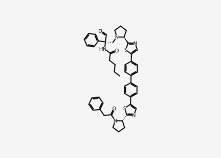 CCCCC(=O)N[C@@](C=O)(CN1CCC[C@H]1c1ncc(-c2ccc(-c3ccc(-c4cnc([C@@H]5CCCN5C(=O)Cc5ccccc5)s4)cc3)cc2)s1)c1ccccc1